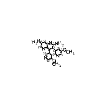 COc1cncc(-c2c(N)nc3cc(N)cnc3c2-c2cncc(OC)c2)c1